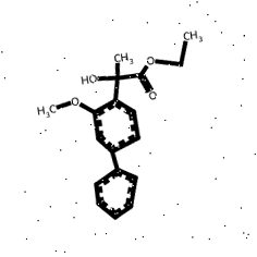 CCOC(=O)C(C)(O)c1ccc(-c2ccccc2)cc1OC